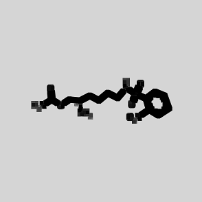 NC(=O)OC[C@@H](N)CCCCNS(=O)(=O)c1ccccc1[N+](=O)[O-]